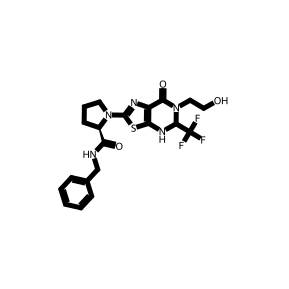 O=C(NCc1ccccc1)[C@H]1CCCN1c1nc2c(s1)NC(C(F)(F)F)N(CCO)C2=O